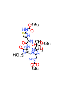 CC(C)(C)OC(=O)NCc1ncnn1C[C@@H]1[C@H](NC(=O)C(=NOC(C)(C)C(=O)OC(C)(C)C)c2csc(NC(=O)OC(C)(C)C)n2)C(=O)N1S(=O)(=O)O